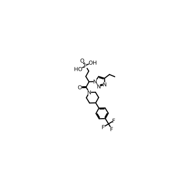 CCc1cn(C(CCP(=O)(O)O)C(=O)N2CCC(c3ccc(C(F)(F)F)cc3)CC2)nn1